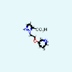 O=C(O)c1ccnn1CCOc1cccnc1